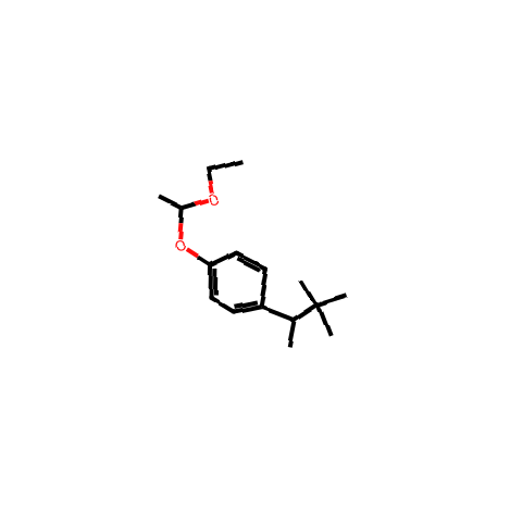 CCOC(C)Oc1ccc(C(C)C(C)(C)C)cc1